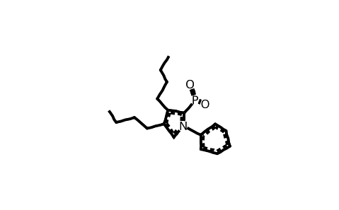 CCCCc1cn(-c2ccccc2)c(P(=O)=O)c1CCCC